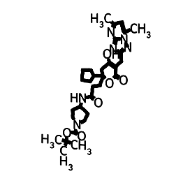 Cc1cc(C)n2nc(CC3=C(O)CC(CCC(=O)NC4CCN(C(=O)OC(C)(C)C)CC4)(C4CCCC4)OC3=O)nc2n1